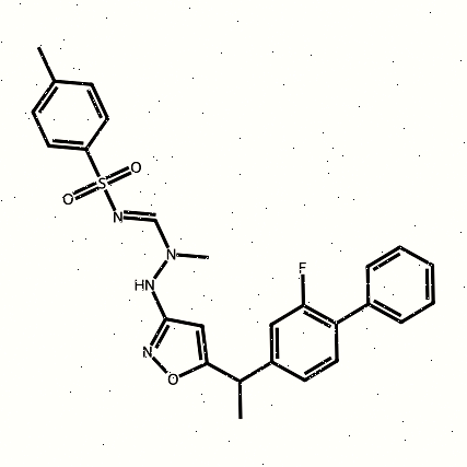 Cc1ccc(S(=O)(=O)N=CN(C)Nc2cc(C(C)c3ccc(-c4ccccc4)c(F)c3)on2)cc1